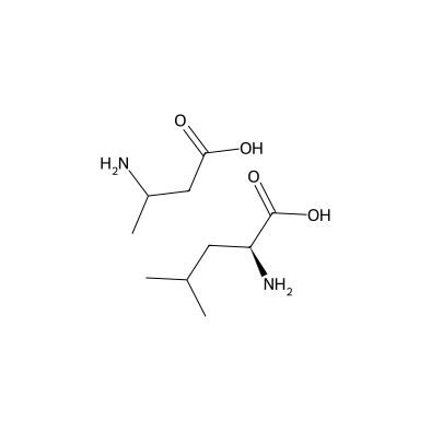 CC(C)C[C@H](N)C(=O)O.CC(N)CC(=O)O